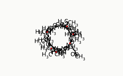 C/C=C/C[C@@H](C)[C@@H](O)[C@H]1C(=O)N[C@@H](CC)C(=O)N(C)[C@H](CSCCCC(=O)OC)C(=O)N(C)[C@@H](CC(C)(C)O)C(=O)N[C@H](C(C)C)C(=O)N(C)[C@H](CCC(C)C)C(=O)N[C@H](C)C(=O)N[C@@H](C)C(=O)N(C)[C@@H](CC(C)C)C(=O)N(C)[C@@H](CC(C)C)C(=O)N(C)[C@@H](C(C)C)C(=O)N1C